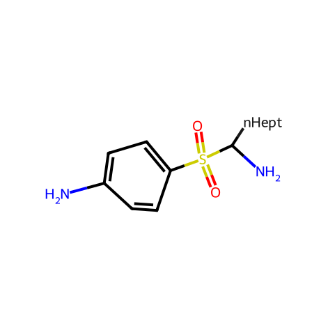 CCCCCCCC(N)S(=O)(=O)c1ccc(N)cc1